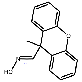 CC1(/C=N/O)c2ccccc2Oc2ccccc21